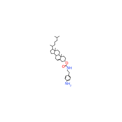 CC(C)CCCC(C)C1CCC2C3CC=C4CC(OC(=O)NCCc5ccc(N)cc5)CCC4(C)C3CCC12C